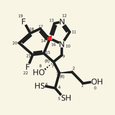 OCC[C@@H](C(S)S)[C@](O)(Cn1cncn1)c1ccc(F)cc1F